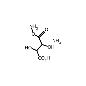 N.NOC(=O)C(O)C(O)C(=O)O